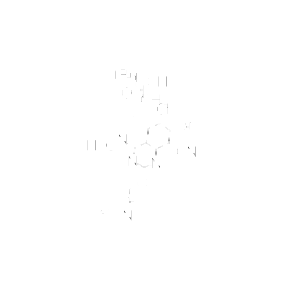 CN(c1nc(OC[C@@]23CCCN2C[C@H](F)C3)nc2c(C#N)c(Br)c(Cl)cc12)C1CC(O[Si](C)(C)C(C)(C)C)C1